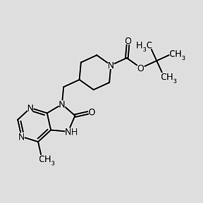 Cc1ncnc2c1[nH]c(=O)n2CC1CCN(C(=O)OC(C)(C)C)CC1